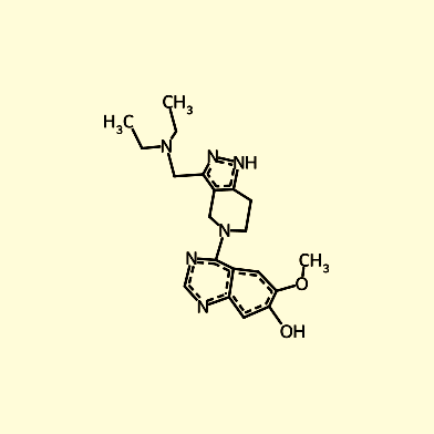 CCN(CC)Cc1n[nH]c2c1CN(c1ncnc3cc(O)c(OC)cc13)CC2